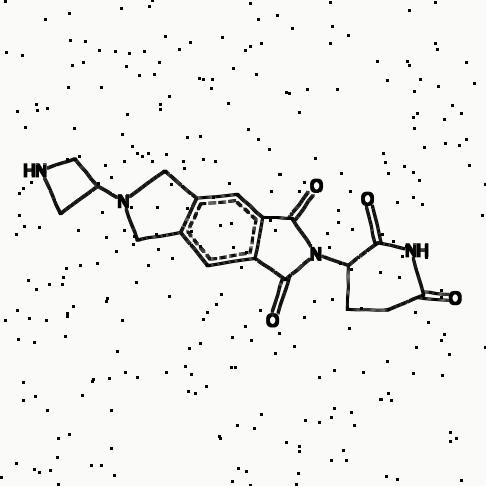 O=C1CCC(N2C(=O)c3cc4c(cc3C2=O)CN(C2CNC2)C4)C(=O)N1